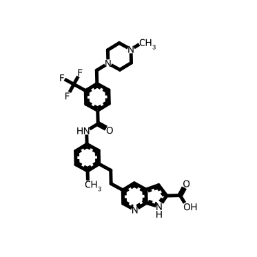 Cc1ccc(NC(=O)c2ccc(CN3CCN(C)CC3)c(C(F)(F)F)c2)cc1CCc1cnc2[nH]c(C(=O)O)cc2c1